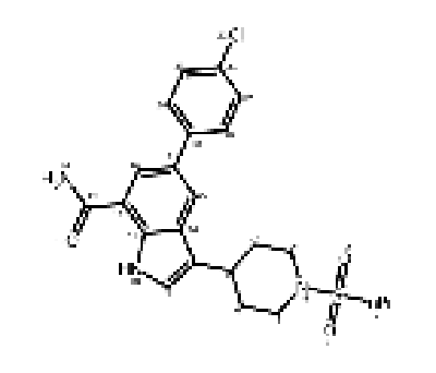 CCCS(=O)(=O)N1CCC(c2c[nH]c3c(C(N)=O)cc(-c4ccc(Cl)cc4)cc23)CC1